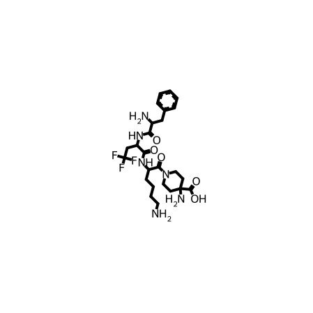 NCCCCC(NC(=O)C(CC(F)(F)F)NC(=O)C(N)Cc1ccccc1)C(=O)N1CCC(N)(C(=O)O)CC1